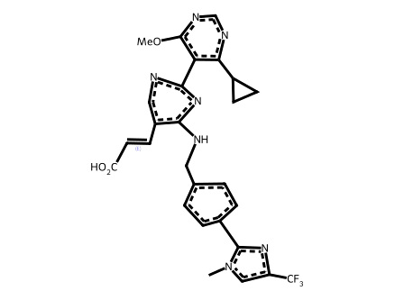 COc1ncnc(C2CC2)c1-c1ncc(/C=C/C(=O)O)c(NCc2ccc(-c3nc(C(F)(F)F)cn3C)cc2)n1